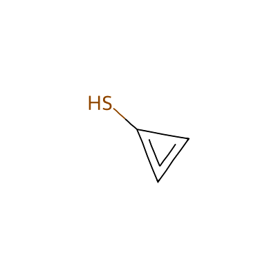 SC1=C=C1